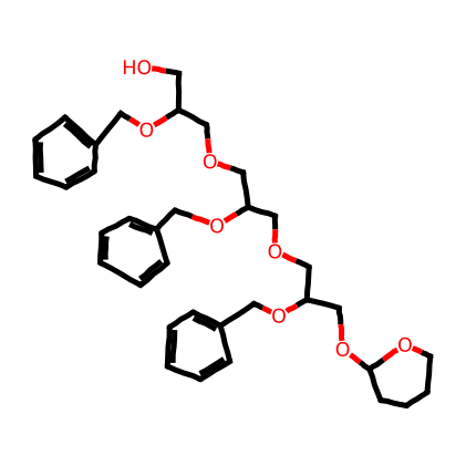 OCC(COCC(COCC(COC1CCCCO1)OCc1ccccc1)OCc1ccccc1)OCc1ccccc1